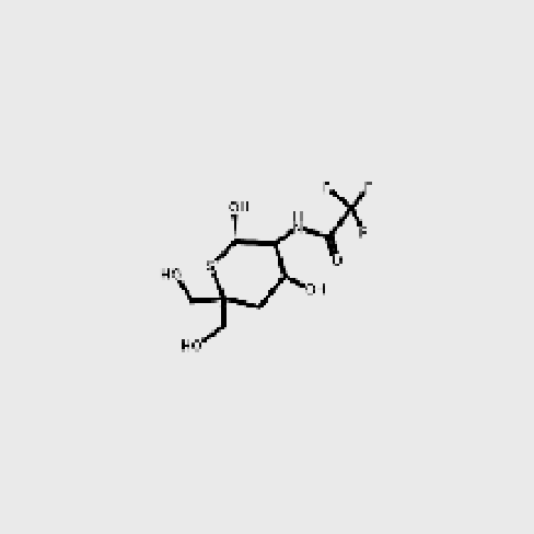 O=C(NC1C(O)CC(CO)(CO)S[C@H]1O)C(F)(F)F